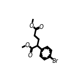 COC(=O)CCC(C(=O)OC)c1ccc(Br)cc1